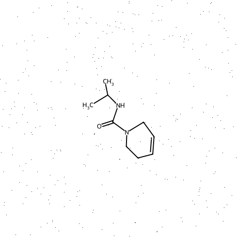 CC(C)NC(=O)N1CC=CCC1